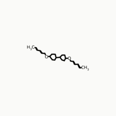 CC=CC=CCOC1CCC(C2CCC(OCC=CC=CC)CC2)CC1